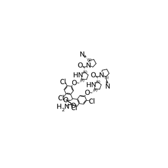 N#C[C@@H]1CCCN1C(=O)[C@@H]1CC[C@H](COc2cc(C(c3cc(OC[C@H]4CC[C@@H](C(=O)N5CCC[C@H]5C#N)N4)c(Cl)cc3Cl)S(N)(=O)=O)c(Cl)cc2Cl)N1